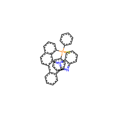 S=P(c1ccccc1)(c1ccccc1)c1cccc2ccc3c4ccccc4c4nc5ccccc5n4c3c12